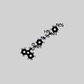 N=C(Nc1ccc(N=C=S)cc1)SS/C=N/c1ccc(NC(=O)OCC2c3ccccc3-c3ccccc32)cc1